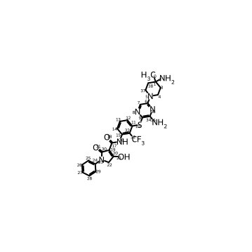 CC1(N)CCN(c2cnc(Sc3cccc(NC(=O)C4=C(O)CN(c5ccccc5)C4=O)c3C(F)(F)F)c(N)n2)CC1